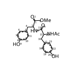 COC(=O)C(Cc1ccc(O)cc1)NC(=O)C(Cc1ccc(O)cc1)NC(C)=O